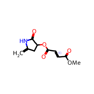 C=C1CC(OC(=O)/C=C/C(=O)OC)C(=O)N1